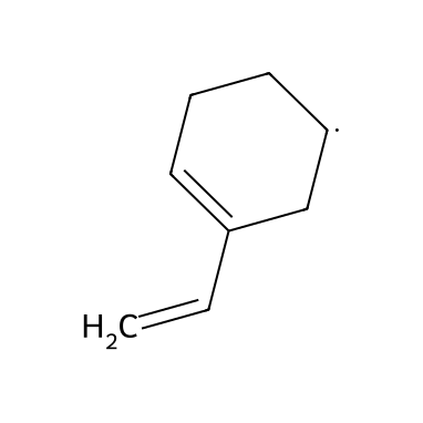 C=CC1=CCC[CH]C1